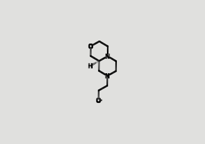 [O]CCN1CCN2CCOC[C@@H]2C1